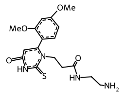 COc1ccc(-c2cc(=O)[nH]c(=S)n2CCC(=O)NCCN)c(OC)c1